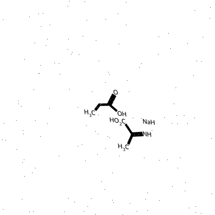 CC(=N)C(=O)O.CCC(=O)O.[NaH]